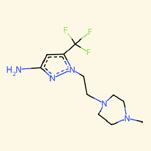 CN1CCN(CCn2nc(N)cc2C(F)(F)F)CC1